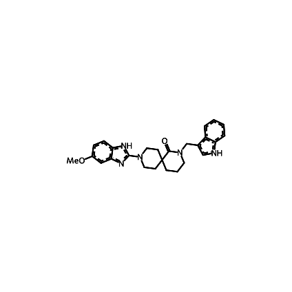 COc1ccc2[nH]c(N3CCC4(CCCN(Cc5c[nH]c6ccccc56)C4=O)CC3)nc2c1